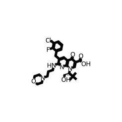 CC(C)(C)[C@@H](CO)n1cc(C(=O)O)c(=O)c2cc(Cc3cccc(Cl)c3F)c(NCCCN3CCOCC3)nc21